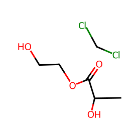 CC(O)C(=O)OCCO.ClCCl